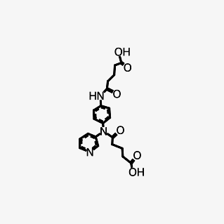 O=C(O)CCCC(=O)Nc1ccc(N(C(=O)CCCC(=O)O)c2cccnc2)cc1